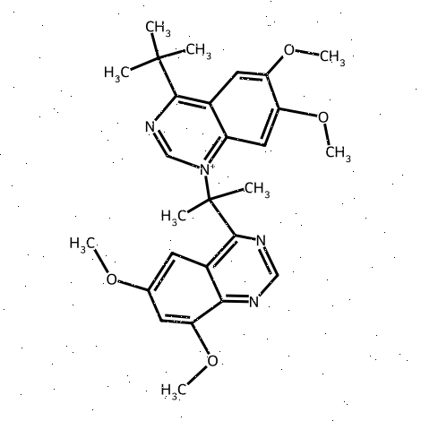 COc1cc(OC)c2ncnc(C(C)(C)[n+]3cnc(C(C)(C)C)c4cc(OC)c(OC)cc43)c2c1